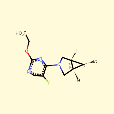 CC[C@@H]1[C@H]2CN(c3nc(OCC(=O)O)ncc3F)C[C@@H]12